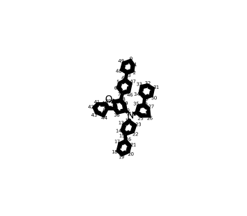 c1ccc(-c2ccc(-c3cc(N(c4ccc(-c5ccccc5)cc4)c4cccc(-c5ccccc5)c4)cc4c3oc3ccccc34)cc2)cc1